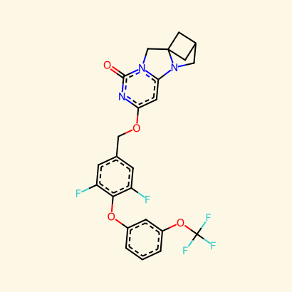 O=c1nc(OCc2cc(F)c(Oc3cccc(OC(F)(F)F)c3)c(F)c2)cc2n1CC13CC(CN21)C3